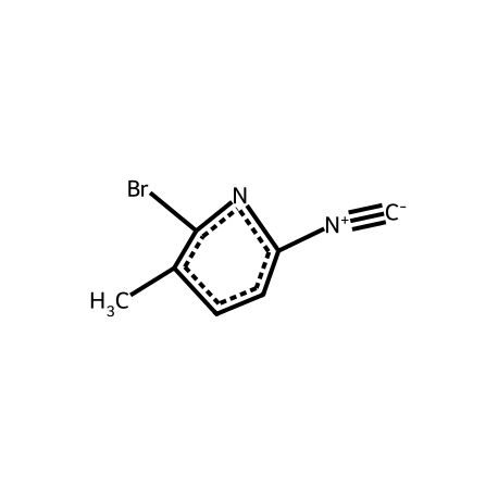 [C-]#[N+]c1ccc(C)c(Br)n1